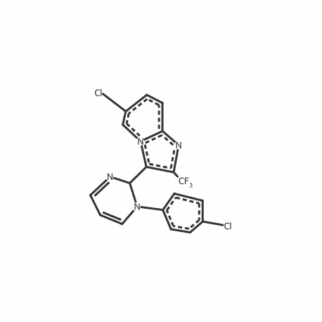 FC(F)(F)c1nc2ccc(Cl)cn2c1C1N=CC=CN1c1ccc(Cl)cc1